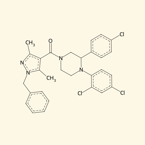 Cc1nn(Cc2ccccc2)c(C)c1C(=O)N1CCN(c2ccc(Cl)cc2Cl)C(c2ccc(Cl)cc2)C1